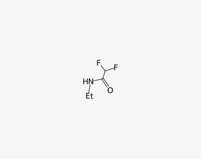 [CH2]CNC(=O)C(F)F